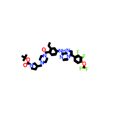 CCc1cc(Nc2nccn3c(-c4ccc(OC(F)F)c(F)c4F)cnc23)ccc1C(=O)N1CCN(CC2CCN(C(=O)OC(C)(C)C)C2)CC1